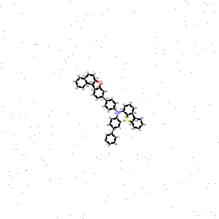 c1ccc(-c2ccc(N(c3ccc(-c4ccc5c(c4)oc4ccc6ccccc6c45)cc3)c3cccc4c3sc3ccccc34)cc2)cc1